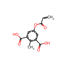 C=CC(=O)Oc1cc(C(=O)O)c(C)c(C(=O)O)c1